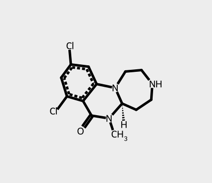 CN1C(=O)c2c(Cl)cc(Cl)cc2N2CCNCC[C@@H]12